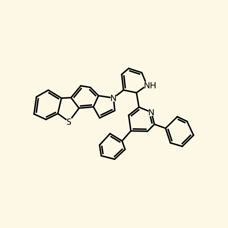 C1=CNC(c2cc(-c3ccccc3)cc(-c3ccccc3)n2)C(n2ccc3c4sc5ccccc5c4ccc32)=C1